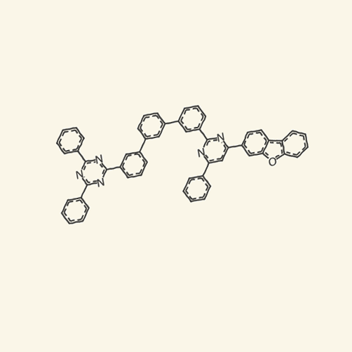 c1ccc(-c2cc(-c3ccc4c(c3)oc3ccccc34)nc(-c3cccc(-c4cccc(-c5cccc(-c6nc(-c7ccccc7)nc(-c7ccccc7)n6)c5)c4)c3)n2)cc1